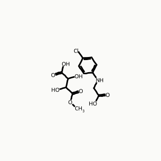 COC(=O)C(O)C(O)C(=O)O.O=C(O)CNc1ccc(Cl)cc1